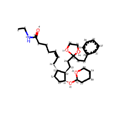 CCNC(=O)CCC/C=C\C[C@H]1CC[C@@H](OC2CCCCO2)[C@@H]1CCC1(CCc2ccccc2)OCCO1